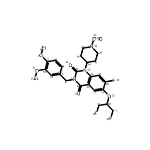 CCOc1ccc(Cn2c(=O)c3cc(OC(CF)CF)c(F)cc3n(C3CCN(C=O)CC3)c2=O)cc1OCC